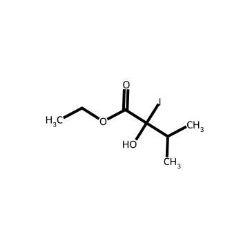 CCOC(=O)C(O)(I)C(C)C